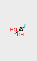 CC(O)(O)C12CC(F)(C1)C2